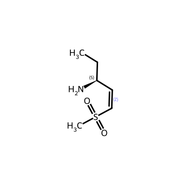 CC[C@H](N)/C=C\S(C)(=O)=O